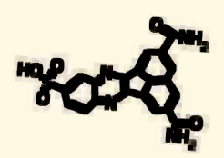 NC(=O)c1cc2c3c(cc(C(N)=O)cc3c1)-c1nc3cc(S(=O)(=O)O)ccc3nc1-2